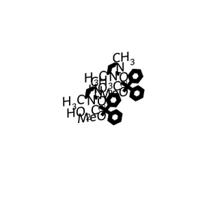 COC(c1ccccc1)(c1ccccc1)[C@H](Oc1nc(C)cc(C)n1)C(=O)O.COC(c1ccccc1)(c1ccccc1)[C@H](Oc1nc(C)cc(C)n1)C(=O)O